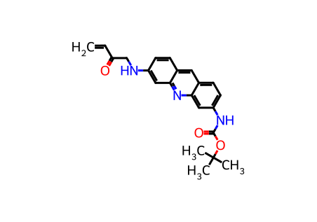 C=CC(=O)CNc1ccc2cc3ccc(NC(=O)OC(C)(C)C)cc3nc2c1